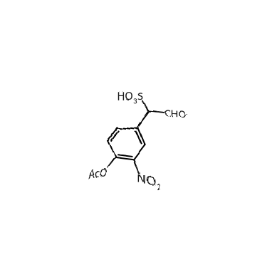 CC(=O)Oc1ccc(C([C]=O)S(=O)(=O)O)cc1[N+](=O)[O-]